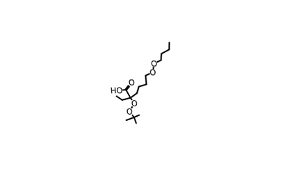 CCCCOOCCCCC(CC)(OOC(C)(C)C)C(=O)O